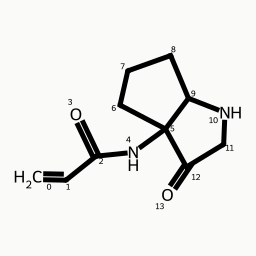 C=CC(=O)NC12CCCC1NCC2=O